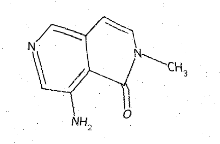 Cn1ccc2cncc(N)c2c1=O